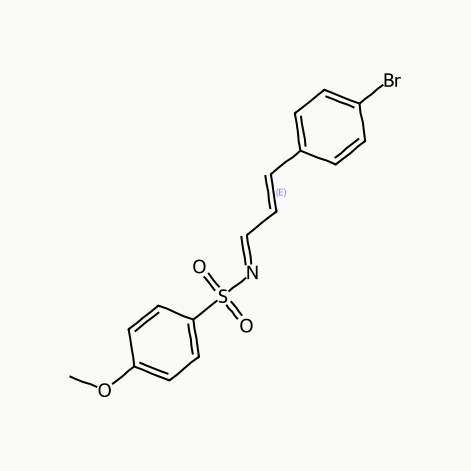 COc1ccc(S(=O)(=O)N=C/C=C/c2ccc(Br)cc2)cc1